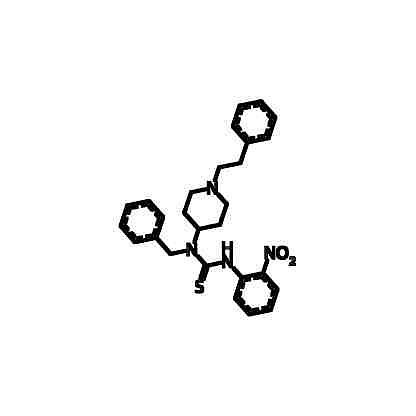 O=[N+]([O-])c1ccccc1NC(=S)N(Cc1ccccc1)C1CCN(CCc2ccccc2)CC1